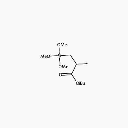 CO[Si](CC(C)C(=O)OCC(C)C)(OC)OC